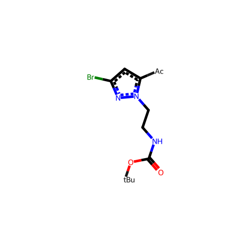 CC(=O)c1cc(Br)nn1CCNC(=O)OC(C)(C)C